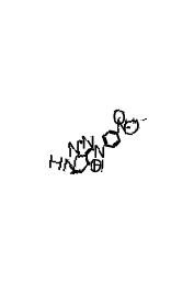 O=c1cc[nH]c2ncnc(Nc3ccc([N+](=O)[O-])cc3)c12